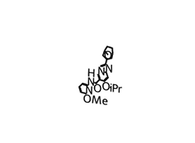 COc1cccc(NC(=O)c2cn3cc(C4CC5CCC(C4)O5)nc3cc2OC(C)C)n1